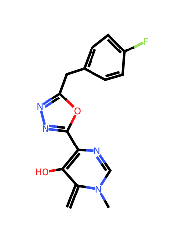 C=C1C(O)=C(c2nnc(Cc3ccc(F)cc3)o2)N=CN1C